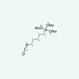 CO[Si](CCCCCN=C=O)(OC)OC